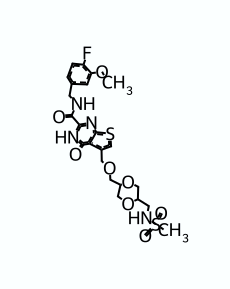 COc1cc(CNC(=O)c2nc3scc(COCC4COC(CNS(C)(=O)=O)CO4)c3c(=O)[nH]2)ccc1F